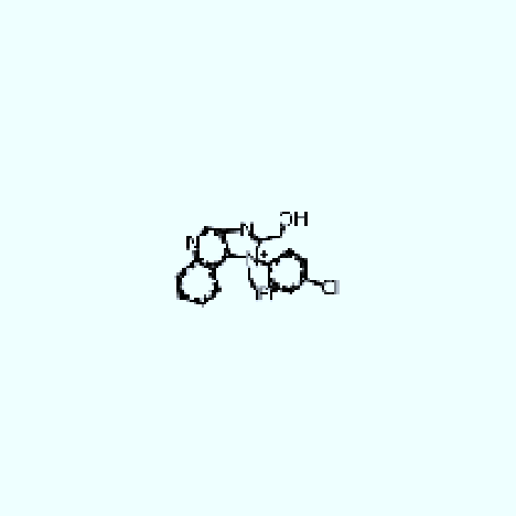 CC(C)C[N+]1(c2ccc(Cl)cc2)C(CO)=Nc2cnc3ccccc3c21